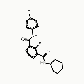 O=C(Nc1ccc(F)cc1)c1cccc(C(=O)NC2CCCCC2)c1F